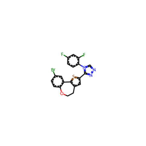 Fc1ccc(-n2cnnc2-c2cc3c(s2)-c2cc(Br)ccc2OCC3)c(F)c1